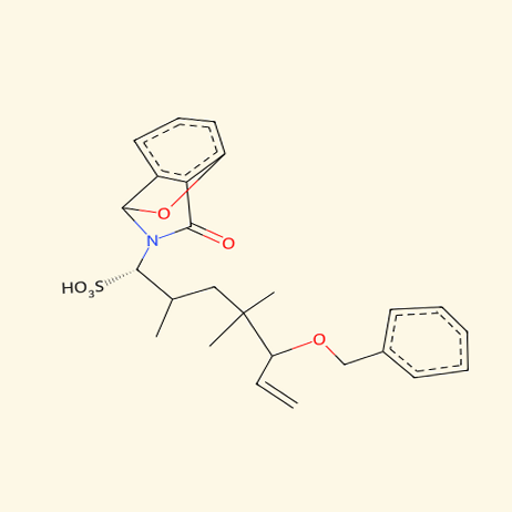 C=CC(OCc1ccccc1)C(C)(C)CC(C)[C@@H](N1C(=O)c2c3cccc2C1O3)S(=O)(=O)O